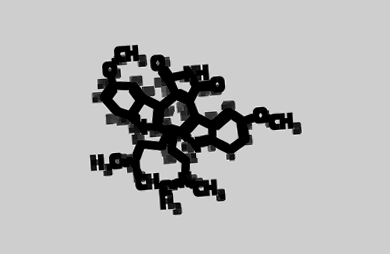 COC1=CCC2=NC(CCCN(C)C)=C(C3=C(C4=C(CCCN(C)C)N=C5CC=C(OC)C=C54)C(=O)NC3=O)C2=C1